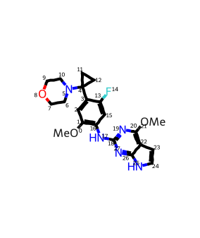 COc1cc(C2(N3CCOCC3)CC2)c(F)cc1Nc1nc(OC)c2cc[nH]c2n1